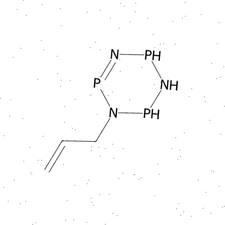 C=CCn1pn[pH][nH][pH]1